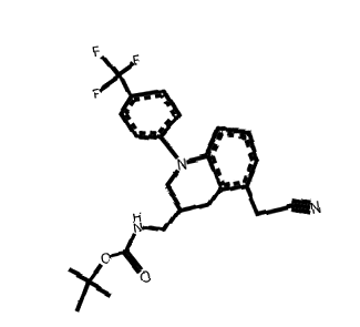 CC(C)(C)OC(=O)NCC1Cc2c(CC#N)cccc2N(c2ccc(C(F)(F)F)cc2)C1